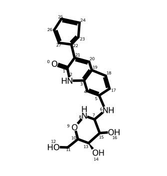 O=c1[nH]c2cc(NC3NOC(CO)[C@H](O)C3O)ccc2cc1-c1ccccc1